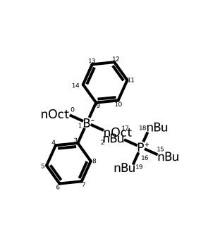 CCCCCCCC[B-](CCCCCCCC)(c1ccccc1)c1ccccc1.CCCC[P+](CCCC)(CCCC)CCCC